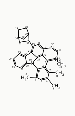 Cc1cc(C)c2c(c1C)c1c3c(cc(C4CC5CCC4C5)c4c5ccccc5n2c43)nc[n+]1C